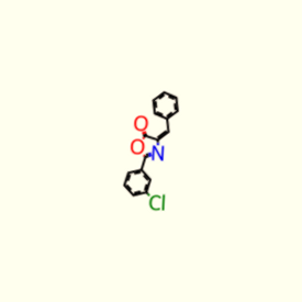 O=C1OC(c2cccc(Cl)c2)=N/C1=C/c1ccccc1